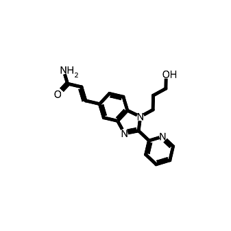 NC(=O)C=Cc1ccc2c(c1)nc(-c1ccccn1)n2CCCO